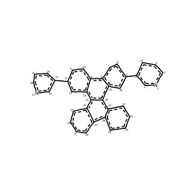 c1cncc(-c2ccc3c4ccc(-c5cccnc5)cc4c4c5ccccc5c5ccccc5c4c3c2)c1